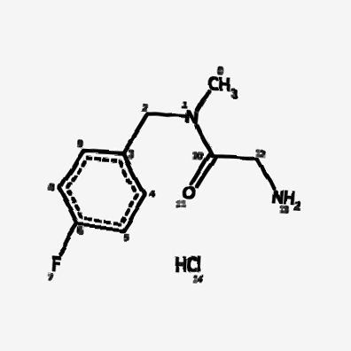 CN(Cc1ccc(F)cc1)C(=O)CN.Cl